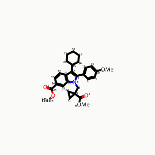 COC(=O)C1(Cn2c(-c3ccc(OC)cc3)c(C3CCCCC3)c3ccc(C(=O)OC(C)(C)C)cc32)CC1